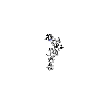 CCc1cc(Nc2ncc(Br)c(Nc3ccc(/C(C=N)=N/NC)cc3P(C)C)n2)c(OC)cc1N1CCC(N2CCOCC2)CC1